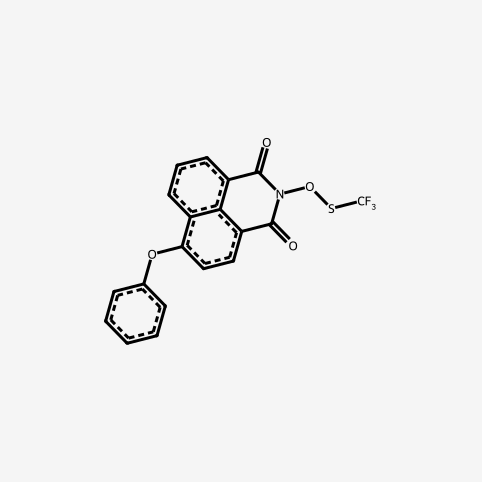 O=C1c2cccc3c(Oc4ccccc4)ccc(c23)C(=O)N1OSC(F)(F)F